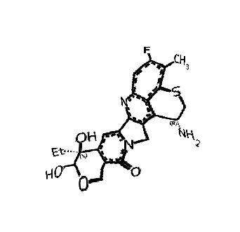 CC[C@]1(O)c2cc3n(c(=O)c2COC1O)Cc1c-3nc2cc(F)c(C)c3c2c1[C@@H](N)CS3